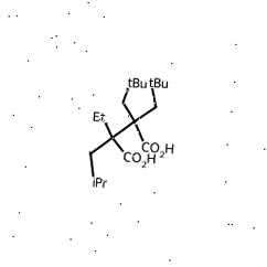 CCC(CC(C)C)(C(=O)O)C(CC(C)(C)C)(CC(C)(C)C)C(=O)O